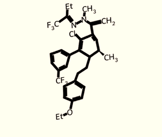 C=C(C1=C[C@@H](C)C(CCc2ccc(OCC)cc2)C(c2cccc(C(F)(F)F)c2)=C1Cl)N(C)/N=C(\CC)C(F)(F)F